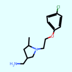 CC1CC(CN)CN1CCOc1ccc(Cl)cc1